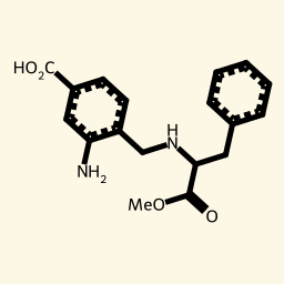 COC(=O)C(Cc1ccccc1)NCc1ccc(C(=O)O)cc1N